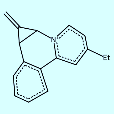 C=C1C2c3ccccc3-c3cc(CC)cc[n+]3C12